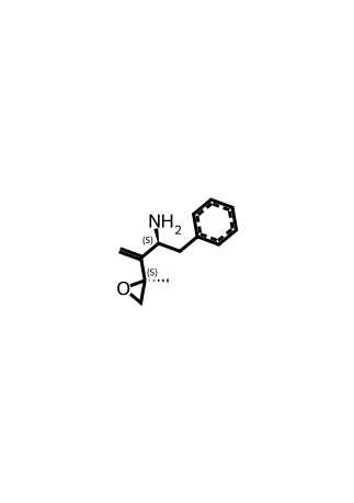 C=C([C@@H](N)Cc1ccccc1)[C@@]1(C)CO1